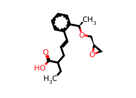 CCC(CC=Cc1ccccc1[C@@H](C)OC[C@H]1CO1)C(=O)O